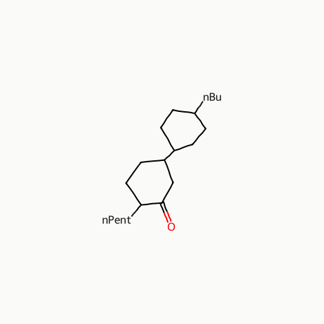 CCCCCC1CCC(C2CCC(CCCC)CC2)CC1=O